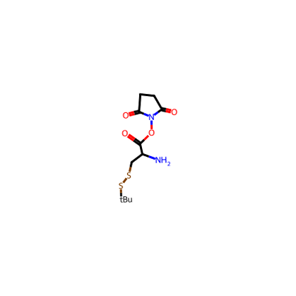 CC(C)(C)SSCC(N)C(=O)ON1C(=O)CCC1=O